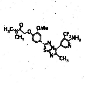 COc1cc(-c2nn3c(-c4cnc(N)c(C(F)(F)F)c4)c(C)nc3s2)ccc1OCC(=O)N(C)C